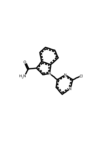 NC(=O)c1cn(-c2ccnc(Cl)n2)c2ccccc12